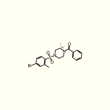 Cc1cc(Br)ccc1S(=O)(=O)N1CCN(C(=O)c2ccccc2)[C@@H](C)C1